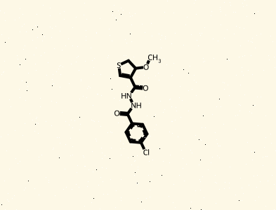 COC1CSC=C1C(=O)NNC(=O)c1ccc(Cl)cc1